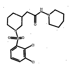 O=C(CC1CCCN(S(=O)(=O)c2cccc(Cl)c2Cl)C1)NN1CCCCC1